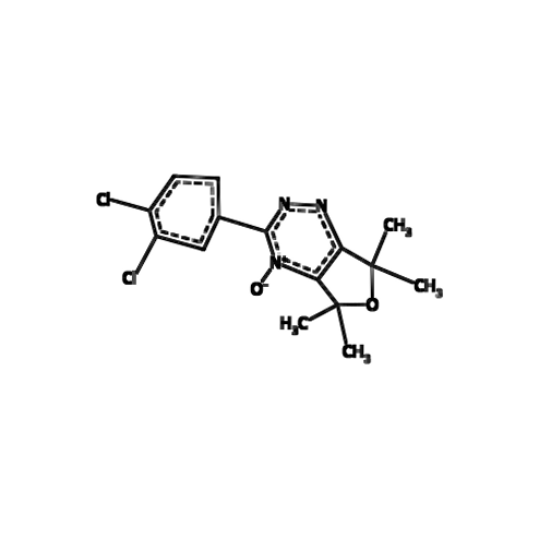 CC1(C)OC(C)(C)c2c1nnc(-c1ccc(Cl)c(Cl)c1)[n+]2[O-]